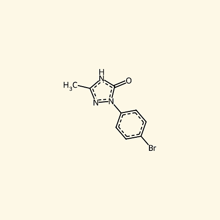 Cc1nn(-c2ccc(Br)cc2)c(=O)[nH]1